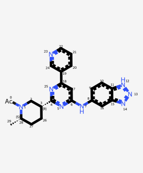 CC(=O)N1C[C@H](c2nc(Nc3ccc4[nH]nnc4c3)cc(-c3cccnc3)n2)CC[C@@H]1C